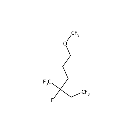 FC(F)(F)CC(F)(CCCOC(F)(F)F)C(F)(F)F